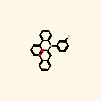 Clc1cccc(N(c2ccc3ccccc3c2)c2ccccc2-c2ccccc2)c1